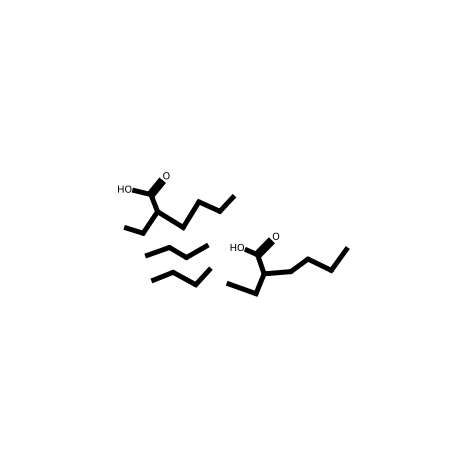 CCCC.CCCC.CCCCC(CC)C(=O)O.CCCCC(CC)C(=O)O